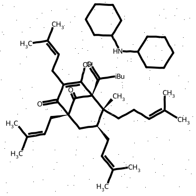 C1CCC(NC2CCCCC2)CC1.CCC(C)C(=O)[C@]12C(=O)[C@](CC=C(C)C)(C[C@H](CC=C(C)C)[C@@]1(C)CCC=C(C)C)C(=O)C(CC=C(C)C)=C2O